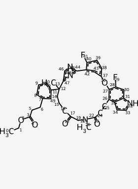 CCOC(=O)CCc1cccc(C2(C)CCCC(=O)CN(C)C(=O)CCc3c(c(F)cc4[nH]ccc34)Oc3ccc(F)c(c3)-c3ncc2[nH]3)c1